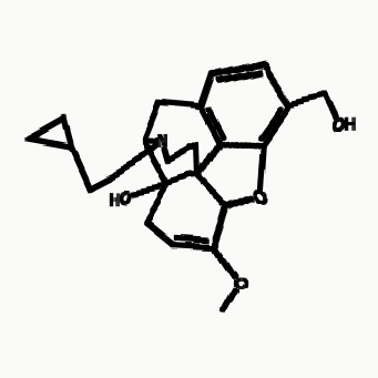 COC1=CCC2(O)C3Cc4ccc(CO)c5c4C2(CCN3CC2CC2)C1O5